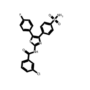 NS(=O)(=O)c1ccc(-c2nc(NC(=O)c3cccc(Cl)c3)sc2-c2ccc(F)cc2)cc1